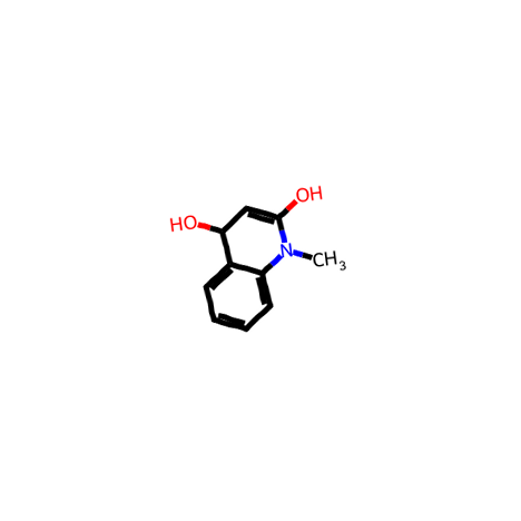 CN1C(O)=CC(O)c2ccccc21